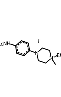 CC[N+]1(C)CCN(c2ccc(NC(C)=O)cc2)CC1.[I-]